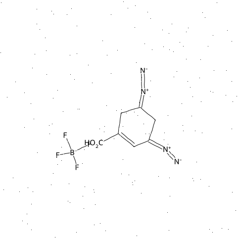 F[B-](F)(F)F.[N-]=[N+]=C1C=C(C(=O)O)CC(=[N+]=[N-])C1